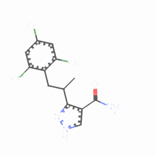 CC(Cc1c(Cl)cc(Cl)cc1Cl)c1n[nH]cc1C(N)=O